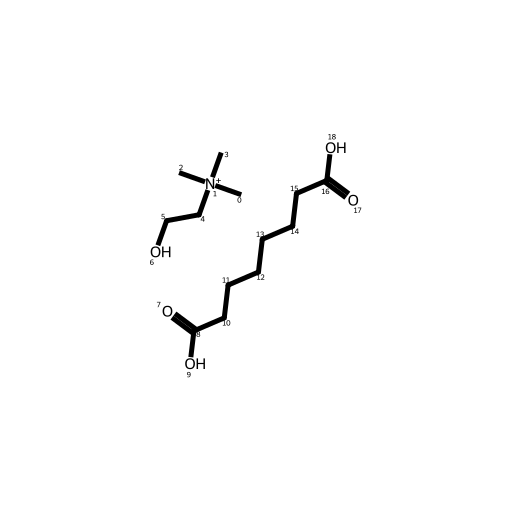 C[N+](C)(C)CCO.O=C(O)CCCCCCC(=O)O